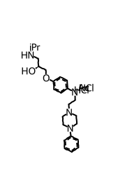 CC(=O)N(CCN1CCN(c2ccccc2)CC1)c1ccc(OC[C@@H](O)CNC(C)C)cc1.Cl.Cl